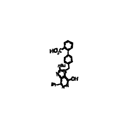 CCCCc1nc2c(C(C)C)nnc(O)c2n1Cc1ccc(-c2ccccc2C(=O)O)cc1